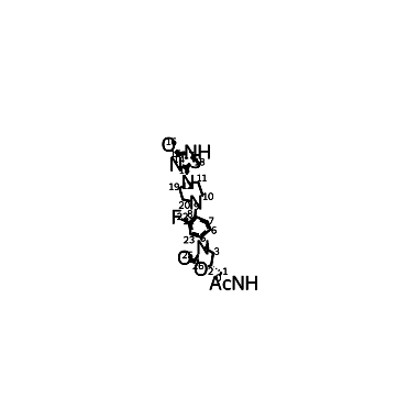 CC(=O)NC[C@H]1CN(c2ccc(N3CCN(c4nc(=O)[nH]s4)CC3)c(F)c2)C(=O)O1